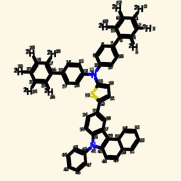 [2H]c1c([2H])c([2H])c(-c2ccc(N(c3ccc(-c4c([2H])c([2H])c([2H])c([2H])c4[2H])cc3)c3ccc(-c4ccc5c(c4)c4c(n5-c5ccccc5)C=CC5C=CC=CC45)s3)cc2)c([2H])c1[2H]